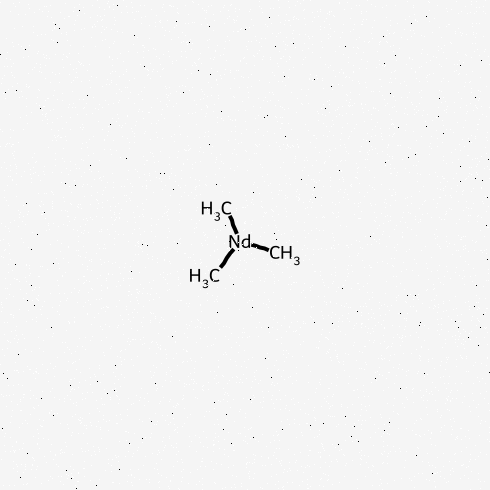 [CH3][Nd]([CH3])[CH3]